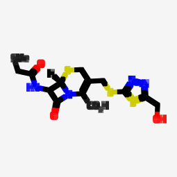 CSCC(=O)NC1C(=O)N2C(C(=O)O)=C(CSc3nnc(CO)s3)CS[C@@H]12